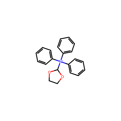 c1ccc([N+](c2ccccc2)(c2ccccc2)C2OCCO2)cc1